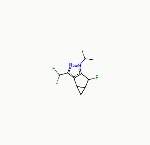 CC(C)n1nc(C(F)F)c2c1C(F)C1CC21